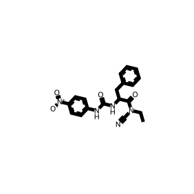 CCN(C#N)C(=O)C(Cc1ccccc1)NC(=O)Nc1ccc([N+](=O)[O-])cc1